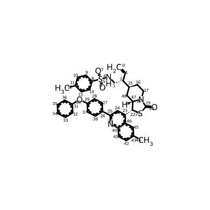 C=C[C@@H](CNS(=O)(=O)c1ccc(C)cc1)[C@H]1CCN2C(=O)S[C@H](c3cc(-c4ccc(Oc5ccccc5)cc4)nc4ccc(C)cc34)[C@@H]2C1